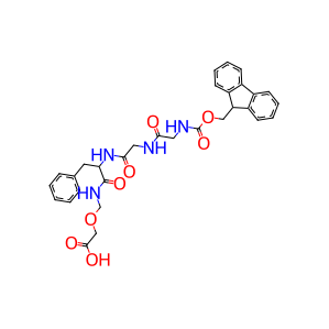 O=C(O)COCNC(=O)C(Cc1ccccc1)NC(=O)CNC(=O)CNC(=O)OCC1c2ccccc2-c2ccccc21